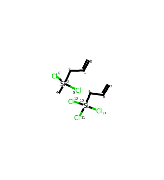 C=CC[Si](C)(Cl)Cl.C=CC[Si](Cl)(Cl)Cl